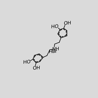 Br.Oc1ccc(CCNCCc2ccc(O)c(O)c2)cc1O